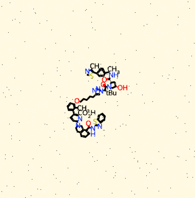 Cc1ncsc1-c1ccc(C(C)NC(=O)[C@@H]2C[C@@H](O)CN2C(=O)C(n2cc(CCCCCOc3cccc(-c4ccc(N5CCc6cccc(C(=O)Nc7nc8ccccc8s7)c6C5)nc4C(=O)O)c3C)nn2)C(C)(C)C)cc1